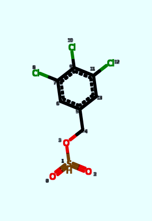 O=[SH](=O)O[CH]c1cc(Cl)c(Cl)c(Cl)c1